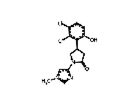 Cn1cnc(N2CC(c3c(O)ccc(Cl)c3Cl)CC2=O)c1